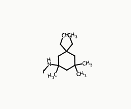 CCC1(CC)CC(C)(C)CC(C)(NI)C1